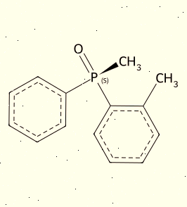 Cc1ccccc1[P@@](C)(=O)c1ccccc1